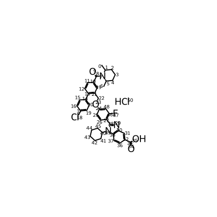 CC1CCCC(C)N1C(=O)c1ccc(-c2ccc(Cl)cc2)c(COc2ccc(-c3nc4cc(C(=O)O)ccc4n3C3CCCCC3)c(F)c2)c1.Cl